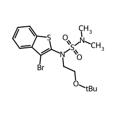 CN(C)S(=O)(=O)N(CCOC(C)(C)C)c1sc2ccccc2c1Br